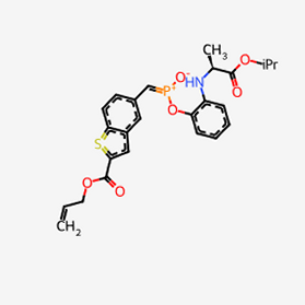 C=CCOC(=O)c1cc2cc(C=[P+]([O-])Oc3ccccc3N[C@@H](C)C(=O)OC(C)C)ccc2s1